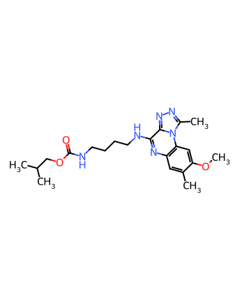 COc1cc2c(cc1C)nc(NCCCCNC(=O)OCC(C)C)c1nnc(C)n12